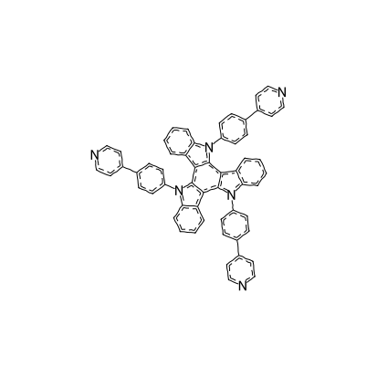 c1ccc2c(c1)c1c(c3c4ccccc4n(-c4ccc(-c5ccncc5)cc4)c3c3c4ccccc4n(-c4ccc(-c5ccncc5)cc4)c13)n2-c1ccc(-c2ccncc2)cc1